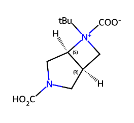 CC(C)(C)[N+]1(C(=O)[O-])C[C@H]2CN(C(=O)O)C[C@H]21